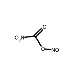 O=NOC(=O)[N+](=O)[O-]